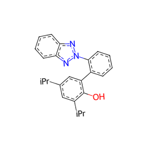 CC(C)c1cc(-c2ccccc2-n2nc3ccccc3n2)c(O)c(C(C)C)c1